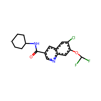 O=C(NC1CC[CH]CC1)c1cnc2cc(OC(F)F)c(Cl)cc2c1